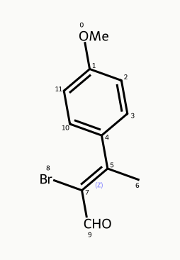 COc1ccc(/C(C)=C(\Br)C=O)cc1